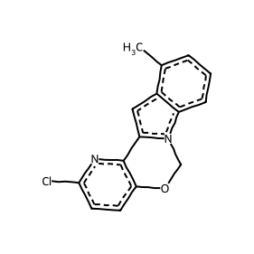 Cc1cccc2c1cc1n2COc2ccc(Cl)nc2-1